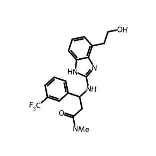 CNC(=O)CC(Nc1nc2c(CCO)cccc2[nH]1)c1cccc(C(F)(F)F)c1